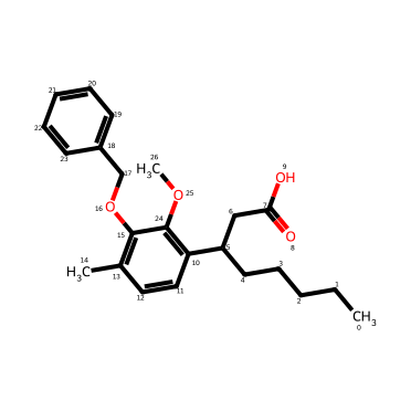 CCCCCC(CC(=O)O)c1ccc(C)c(OCc2ccccc2)c1OC